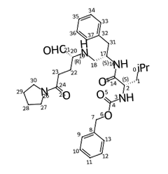 CC(C)C[C@H](NC(=O)OCc1ccccc1)C(=O)N[C@H](CN[C@@H](C=O)CCC(=O)N1CCCC1)Cc1ccccc1